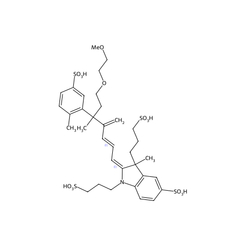 C=C(/C=C/C=C1/N(CCCS(=O)(=O)O)c2ccc(S(=O)(=O)O)cc2C1(C)CCCS(=O)(=O)O)C(C)(CCOCCOC)c1cc(S(=O)(=O)O)ccc1C